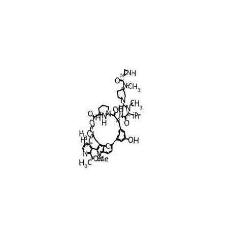 CCn1c(-c2cccnc2[C@H](C)OC)c2c3cc(ccc31)-c1cc(O)cc(c1)C[C@H](NC(=O)[C@H](C(C)C)N(C)C(=O)N1CC[C@@H](N(C)C(=O)[C@@H]3CN3)C1)C(=O)N1CCC[C@H](N1)C(=O)OCC(C)(C)C2